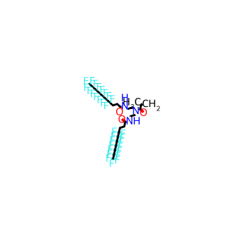 C=C(C)C(=O)N(CCNC(=O)CCC(F)(F)C(F)(F)C(F)(F)C(F)(F)C(F)(F)C(F)(F)C(F)(F)F)CCNC(=O)CCC(F)(F)C(F)(F)C(F)(F)C(F)(F)C(F)(F)C(F)(F)C(F)(F)F